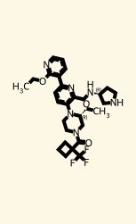 CCOc1ncccc1-c1ccc(N2CCN(C(=O)C3(C(F)(F)F)CCC3)C[C@H]2CC)c(C(=O)N[C@@H]2CCNC2)n1